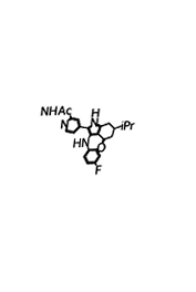 CC(=O)Nc1cc(-c2[nH]c3c(c2Nc2ccc(F)cc2)C(=O)CC(C(C)C)C3)ccn1